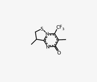 Cc1c(C(F)(F)F)n2c(nc1=O)C(C)CS2